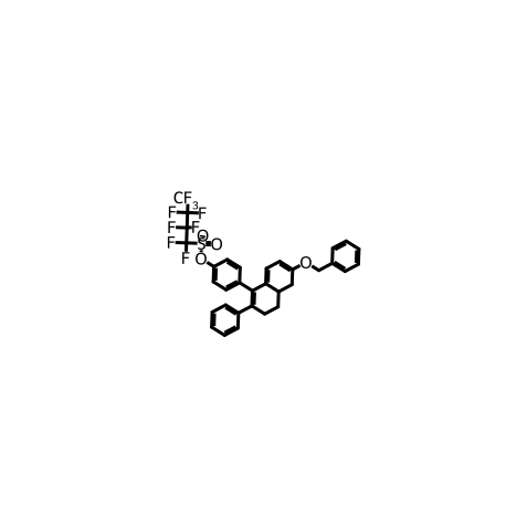 O=S(=O)(Oc1ccc(C2=C(c3ccccc3)CCC3CC(OCc4ccccc4)=CC=C23)cc1)C(F)(F)C(F)(F)C(F)(F)C(F)(F)F